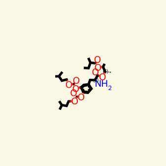 CCC(C)C(=O)OC(C)[C@H](C)OC(=O)[C@@H](N)Cc1ccc(OC(=O)OCCC(C)C)c(OC(=O)OCCC(C)C)c1